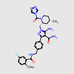 COc1ccc(F)cc1C(=O)NCc1ccc(-c2nn(C[C@H]3C[C@@H](C)CCN3C(=O)n3cnnc3)c(N)c2C(N)=O)cc1